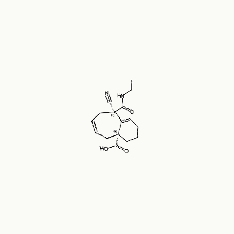 CCNC(=O)[C@]1(C#N)CC=CC[C@]2(C(=O)O)CCCC=C12